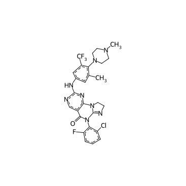 Cc1cc(Nc2ncc3c(n2)N2CCN=C2N(c2c(F)cccc2Cl)C3=O)cc(C(F)(F)F)c1N1CCN(C)CC1